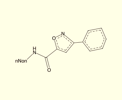 CCCCCCCCCNC(=O)c1cc(-c2ccccc2)no1